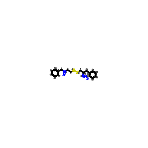 N[C@@H](CSSCCNCc1ccccc1)Cc1ccccc1